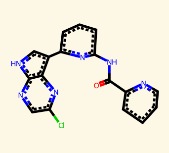 O=C(Nc1cccc(-c2c[nH]c3ncc(Cl)nc23)n1)c1ccccn1